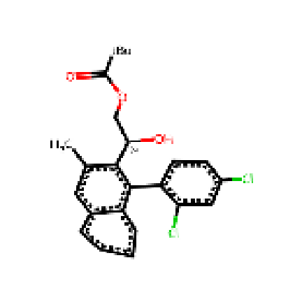 Cc1cc2ccccc2c(-c2ccc(Cl)cc2Cl)c1[C@H](O)COC(=O)C(C)(C)C